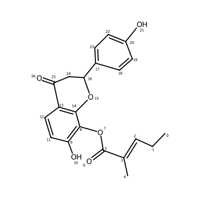 CCC=C(C)C(=O)Oc1c(O)ccc2c1OC(c1ccc(O)cc1)CC2=O